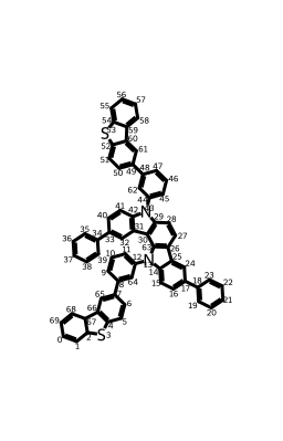 C1=CC2Sc3ccc(-c4cccc(-n5c6ccc(-c7ccccc7)cc6c6ccc7c(c8cc(-c9ccccc9)ccc8n7-c7cccc(-c8ccc9sc%10ccccc%10c9c8)c7)c65)c4)cc3C2C=C1